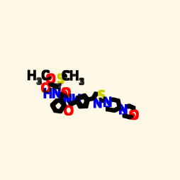 COC(=O)[C@H](CSC)NC(=O)C1(NC(=O)c2ccc(C3CSC(N4CCC(N5CCOCC5)CC4)=N3)cc2)CCCCC1